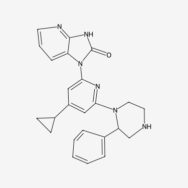 O=c1[nH]c2ncccc2n1-c1cc(C2CC2)cc(N2CCNCC2c2ccccc2)n1